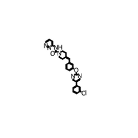 O=C(Nc1cccnn1)N1CCC(=Cc2cccc(Oc3ncc(-c4cccc(Cl)c4)cn3)c2)CC1